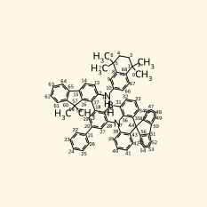 CC1(C)CCC(C)(C)c2cc(Nc3ccc4c(c3-c3cc(-c5ccccc5)cc5c3Bc3cccc6c3N5c3ccccc3C63c5ccccc5-c5ccccc53)C(C)(C)c3ccccc3-4)ccc21